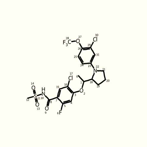 CC(Oc1cc(F)c(C(=O)NS(C)(=O)=O)cc1Cl)C1CCCN1c1ccc(OC(F)(F)F)c(Cl)c1